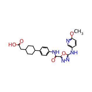 COc1ccc(Nc2nnc(C(=O)Nc3ccc(C4CCC(CC(=O)O)CC4)cc3)o2)cn1